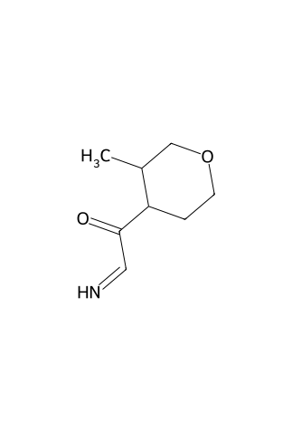 CC1COCCC1C(=O)C=N